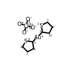 C1CS[CH]([Au+][CH]2CCCS2)C1.[O-][Cl+3]([O-])([O-])[O-]